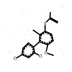 C=C(C)Sc1ccc(OC)c(-c2ccc(Cl)cc2Cl)c1C